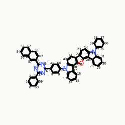 c1ccc(-c2nc(-c3ccc(-n4c5ccccc5c5c6oc7c(ccc8c7c7ccccc7n8-c7ccccc7)c6ccc54)cc3)nc(-c3ccc4ccccc4c3)n2)cc1